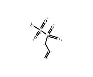 C=CCS(=O)(=O)S(=O)(=O)Cl